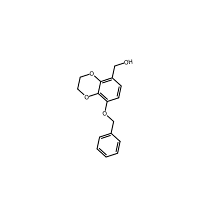 OCc1ccc(OCc2ccccc2)c2c1OCCO2